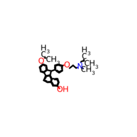 CC(C)CN(C)CCCOc1ccc(C2c3cc(OC(C)C)ccc3-c3ccc4cc(O)ccc4c32)cc1